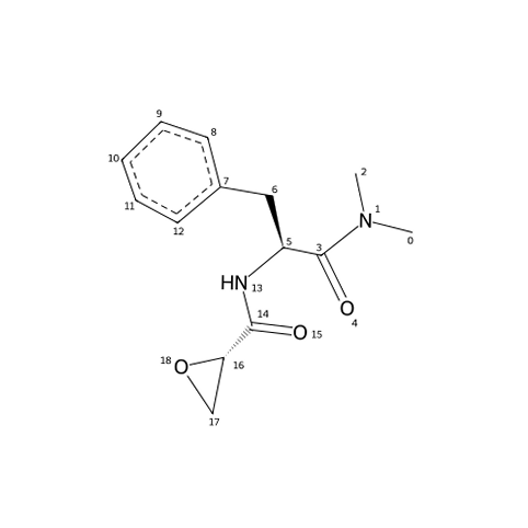 CN(C)C(=O)[C@H](Cc1ccccc1)NC(=O)[C@@H]1CO1